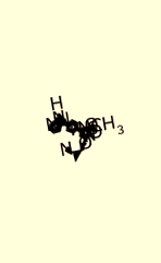 CS(=O)(=O)c1nc(OCC[C@H]2C[C@H]2C#N)cc(N2CCC(c3n[nH]c4ncccc34)CC2)n1